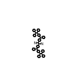 N#C/C(=C(/C#N)c1ccc(N(c2ccccc2)c2ccc(C(=C(c3ccccc3)c3ccccc3)c3ccccc3)cc2)cc1)c1ccc(N(c2ccccc2)c2ccc(C(=C(c3ccccc3)c3ccccc3)c3ccccc3)cc2)cc1